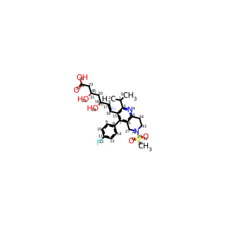 CC(C)c1nc2c(c(-c3ccc(F)cc3)c1/C=C/[C@@H](O)C[C@@H](O)CC(=O)O)CN(S(C)(=O)=O)CC2